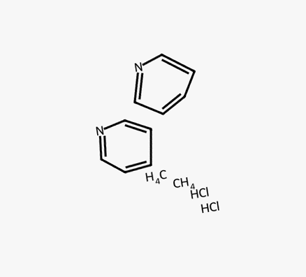 C.C.Cl.Cl.c1ccncc1.c1ccncc1